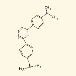 CN(C)c1ccc(-c2cc[s+]c(-c3ccc(N(C)C)cc3)c2)cc1